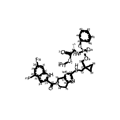 CC(C)OC(=O)[C@H](C)NP(=O)(OCC1(CNc2nc3c(s2)CN(C(=O)c2cc4c(F)cc(F)cc4[nH]2)CC3)CC1)Oc1ccccc1